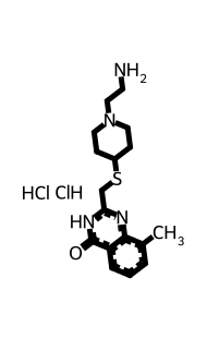 Cc1cccc2c(=O)[nH]c(CSC3CCN(CCN)CC3)nc12.Cl.Cl